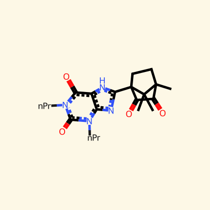 CCCn1c(=O)c2[nH]c(C34CCC(C)(C(=O)C3=O)C4(C)C)nc2n(CCC)c1=O